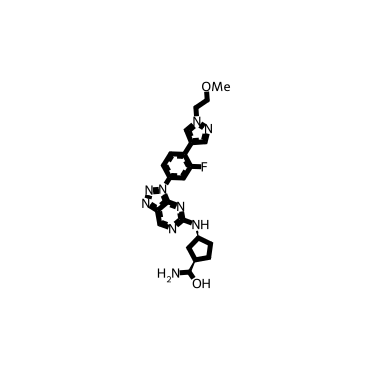 COCCn1cc(-c2ccc(-n3nnc4cnc(N[C@@H]5CC[C@@H](C(N)O)C5)nc43)cc2F)cn1